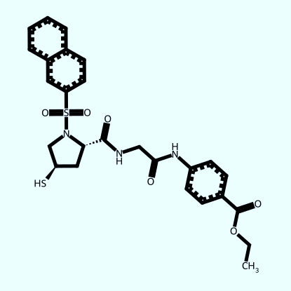 CCOC(=O)c1ccc(NC(=O)CNC(=O)[C@@H]2C[C@@H](S)CN2S(=O)(=O)c2ccc3ccccc3c2)cc1